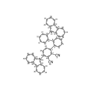 N#Cc1c(-c2ccccc2-c2ccccc2-n2c3ccccc3c3ccccc32)ccc(-n2c3ccccc3c3ccccc32)c1C#N